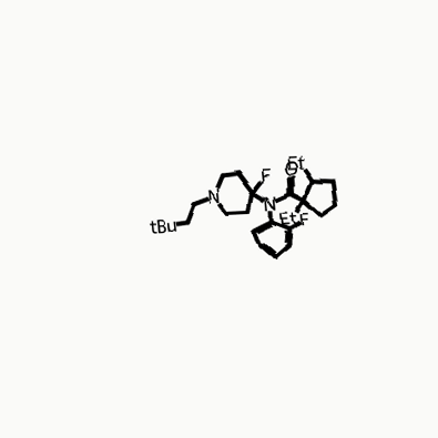 CCC1CCCC1(CC)C(=O)N(c1ccccc1F)C1(F)CCN(CCC(C)(C)C)CC1